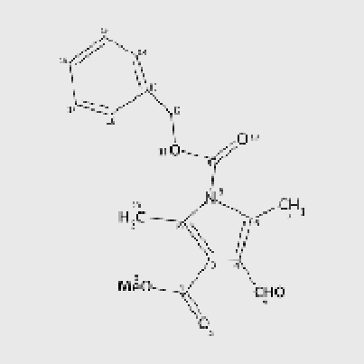 COC(=O)c1c(C=O)c(C)n(C(=O)OCc2ccccc2)c1C